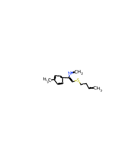 C=CCCS/C=C(\N=C)c1ccc(C)cc1